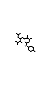 CC(C)CC(CCC(C)C(C)CC(C)NC1CCC(C)CC1)C(C)C(C)C